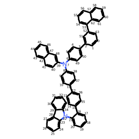 c1cc(-c2ccc(N(c3ccc(-c4ccc(-c5ccccc5-n5c6ccccc6c6ccccc65)cc4)cc3)c3ccc4ccccc4c3)cc2)cc(-c2cccc3ccccc23)c1